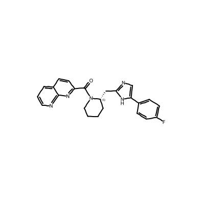 O=C(c1ccc2cccnc2n1)N1CCCC[C@H]1Cc1ncc(-c2ccc(F)cc2)[nH]1